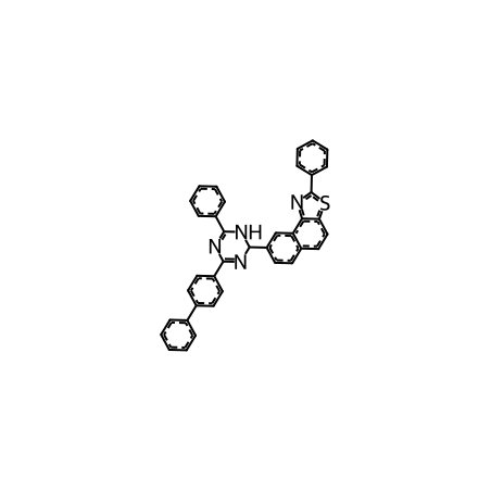 c1ccc(C2=NC(c3ccc(-c4ccccc4)cc3)=NC(c3ccc4ccc5sc(-c6ccccc6)nc5c4c3)N2)cc1